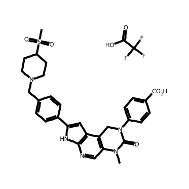 CN1C(=O)N(c2ccc(C(=O)O)cc2)Cc2c1cnc1[nH]c(-c3ccc(CN4CCC(S(C)(=O)=O)CC4)cc3)cc21.O=C(O)C(F)(F)F